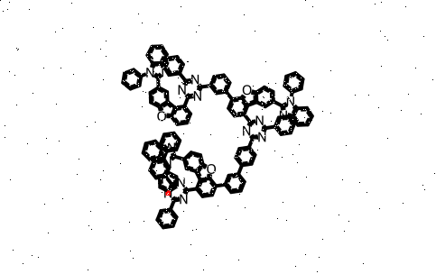 c1ccc(-c2cccc(-c3nc(-c4ccccc4)nc(-c4ccc(-c5cccc(-c6ccc(-c7nc(-c8ccccc8)nc(-c8ccc(-c9cccc(-c%10nc(-c%11ccccc%11)nc(-c%11cccc%12oc%13ccc(-c%14nc%15ccccc%15n%14-c%14ccccc%14)cc%13c%11%12)n%10)c9)c9oc%10ccc(-c%11nc%12ccccc%12n%11-c%11ccccc%11)cc%10c89)n7)cc6)c5)c5oc6ccc(-c7nc8ccccc8n7-c7ccccc7)cc6c45)n3)c2)cc1